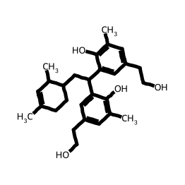 CC1=CC(C)C(CC(c2cc(CCO)cc(C)c2O)c2cc(CCO)cc(C)c2O)CC1